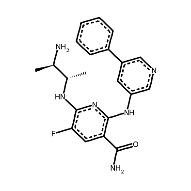 C[C@H](Nc1nc(Nc2cncc(-c3ccccc3)c2)c(C(N)=O)cc1F)[C@@H](C)N